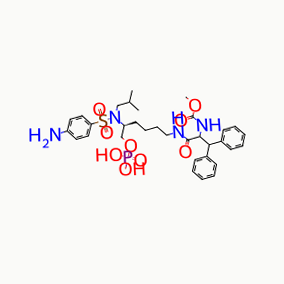 COC(=O)NC(C(=O)NCCCC[C@@H](COP(=O)(O)O)N(CC(C)C)S(=O)(=O)c1ccc(N)cc1)C(c1ccccc1)c1ccccc1